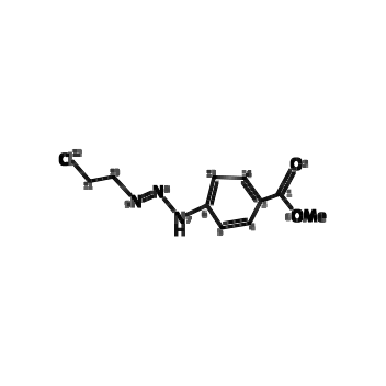 COC(=O)c1ccc(NN=NCCCl)cc1